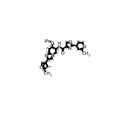 Cc1cc(-c2nc(C(=O)Nc3cn4cc(C56COC(C)(C5)C6)nc4cc3OC(C)C)co2)ccn1